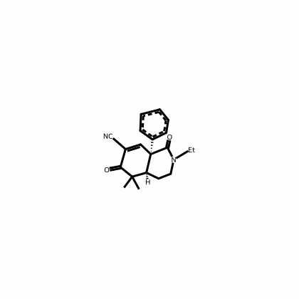 CCN1CC[C@H]2C(C)(C)C(=O)C(C#N)=C[C@@]2(c2ccccc2)C1=O